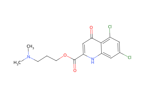 CN(C)CCCOC(=O)c1cc(=O)c2c(Cl)cc(Cl)cc2[nH]1